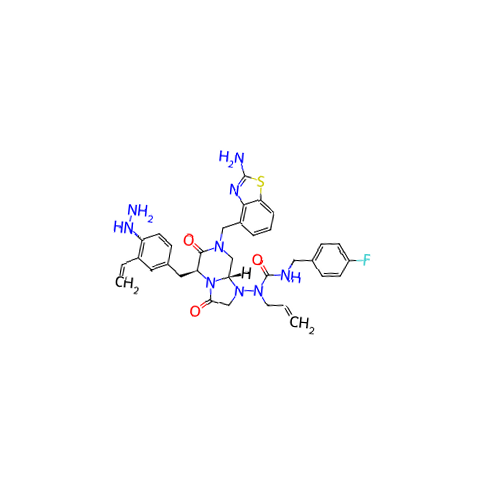 C=CCN(C(=O)NCc1ccc(F)cc1)N1CC(=O)N2[C@@H](Cc3ccc(NN)c(C=C)c3)C(=O)N(Cc3cccc4sc(N)nc34)C[C@@H]21